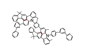 Cc1cc(-c2ccc(N(c3ccc(-c4cccc(-c5ccccc5)c4)cc3)c3c(C)cccc3-c3ccc4c(c3)C(C)(C)c3ccccc3-4)c(C)c2)ccc1N(c1ccc(-c2cccc(-c3ccccc3)c2)cc1)c1c(C)cccc1-c1ccc2c(c1)C(C)(C)c1ccccc1-2